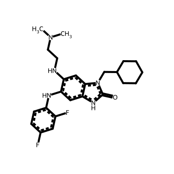 CN(C)CCNc1cc2c(cc1Nc1ccc(F)cc1F)[nH]c(=O)n2CC1CCCCC1